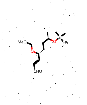 COCO[C@@H](/C=C/C=O)CC[C@@H](C)O[Si](C)(C)C(C)(C)C